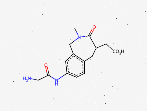 CN1Cc2cc(NC(=O)CN)ccc2CC(CC(=O)O)C1=O